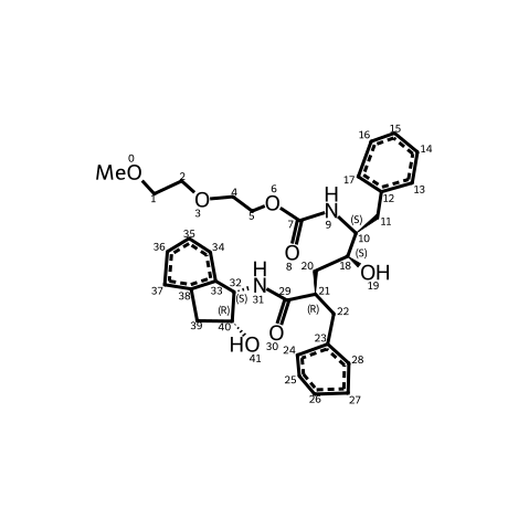 COCCOCCOC(=O)N[C@@H](Cc1ccccc1)[C@@H](O)C[C@@H](Cc1ccccc1)C(=O)N[C@H]1c2ccccc2C[C@H]1O